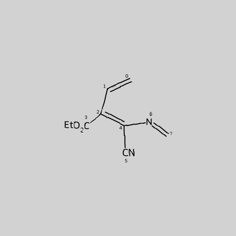 C=C/C(C(=O)OCC)=C(/C#N)N=C